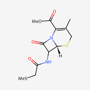 COC(=O)C1=C(C)CS[C@@H]2C(NC(=O)CSC)C(=O)N12